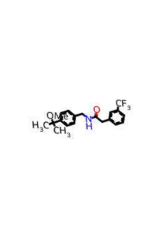 COC(C)(C)c1ccc(CNC(=O)Cc2cccc(C(F)(F)F)c2)cc1